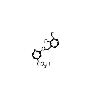 O=C(O)c1ccnc(OCc2cccc(F)c2F)c1